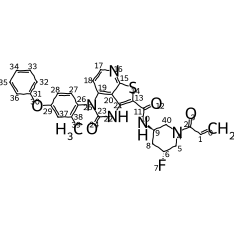 C=CC(=O)N1C[C@H](F)C[C@@H](NC(=O)c2sc3nccc4c3c2NC(=O)N4c2ccc(Oc3ccccc3)cc2C)C1